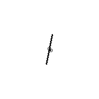 CCCCCCCCCCCCOC(=O)CCCCCCCCCCCC